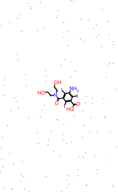 Nc1c(I)c(C(=O)O)c(I)c(C(=O)N(CCO)CCO)c1I